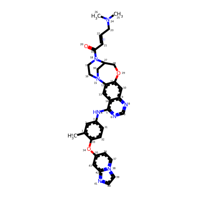 Cc1cc(Nc2ncnc3cc4c(cc23)N2CCN(C(=O)/C=C/CN(C)C)C(CO4)C2)ccc1Oc1ccn2ccnc2c1